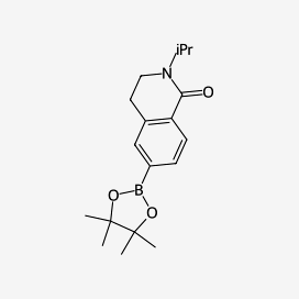 CC(C)N1CCc2cc(B3OC(C)(C)C(C)(C)O3)ccc2C1=O